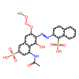 CC(=O)Nc1cc(S(=O)(=O)O)cc2cc(OOOS)c(N=Nc3ccc4ccccc4c3S(=O)(=O)O)c(O)c12